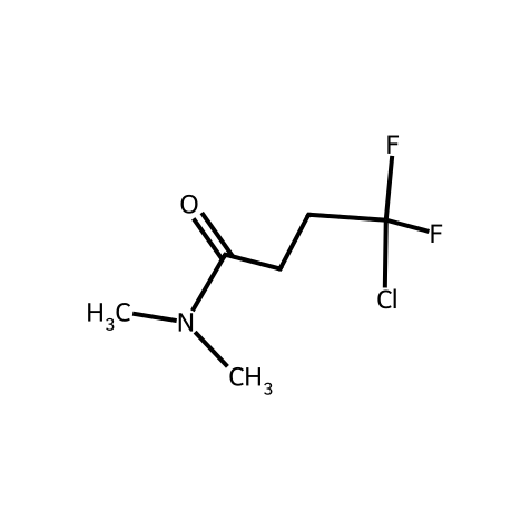 CN(C)C(=O)CCC(F)(F)Cl